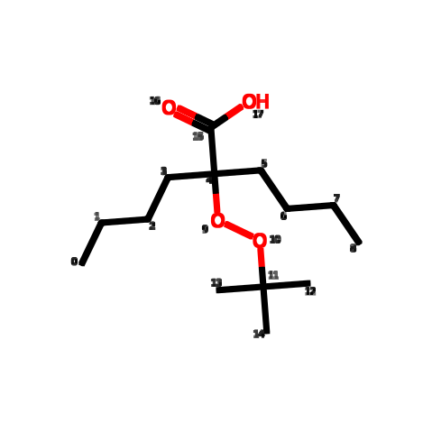 CCCCC(CCCC)(OOC(C)(C)C)C(=O)O